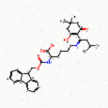 CC(C)CC(=NCCCC[C@@H](NC(=O)OCC1c2ccccc2-c2ccccc21)C(=O)O)C1=C(O)CC(C)(C)CC1=O